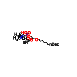 CCCCCCCCCCCCCCCCOCC(COP(=O)(O)CC[N+](C)(C)C)OC(=O)CCC